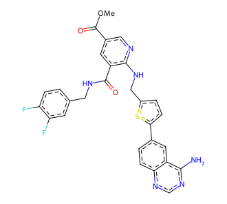 COC(=O)c1cnc(NCc2ccc(-c3ccc4ncnc(N)c4c3)s2)c(C(=O)NCc2ccc(F)c(F)c2)c1